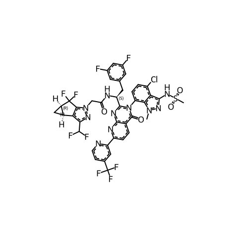 Cn1nc(NS(C)(=O)=O)c2c(Cl)ccc(-n3c([C@H](Cc4cc(F)cc(F)c4)NC(=O)Cn4nc(C(F)F)c5c4C(F)(F)[C@@H]4C[C@H]54)nc4nc(-c5cc(C(F)(F)F)ccn5)ccc4c3=O)c21